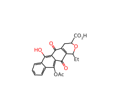 CCC1OC(C(=O)O)CC2=C1C(=O)c1c(c(O)c3ccccc3c1OC(C)=O)C2=O